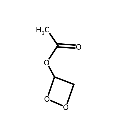 CC(=O)OC1COO1